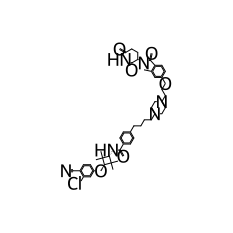 CC1(C)[C@H](NC(=O)c2ccc(CCCCN3CCN(CCOc4ccc5c(c4)CN([C@H]4CCC(=O)NC4=O)C5=O)CC3)cc2)C(C)(C)[C@H]1Oc1ccc(C#N)c(Cl)c1